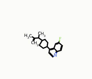 C=C(C)C(C)C1CCC(c2ccnc3ccc(F)cc23)CC1